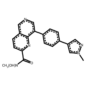 CN(O)C(=O)c1ccc2cncc(-c3ccc(-c4cnn(C)c4)cc3)c2n1